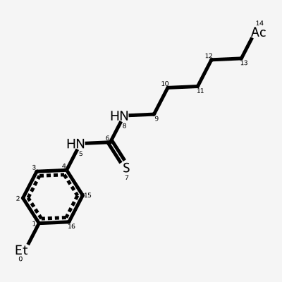 CCc1ccc(NC(=S)NCCCCCC(C)=O)cc1